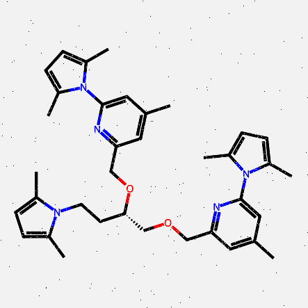 Cc1cc(COC[C@H](CCn2c(C)ccc2C)OCc2cc(C)cc(-n3c(C)ccc3C)n2)nc(-n2c(C)ccc2C)c1